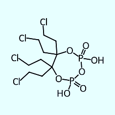 O=P1(O)OC(CCCl)(CCCl)C(CCCl)(CCCl)OP(=O)(O)O1